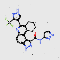 O=C(Nc1cc[nH]n1)c1n[nH]c2ccc3nc(-c4c[nH]nc4C(F)(F)F)c4c(c3c12)CCCC4